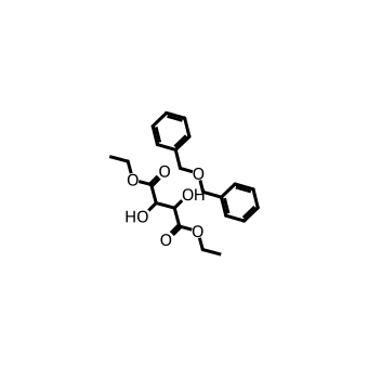 CCOC(=O)C(O)C(O)C(=O)OCC.c1ccc(COCc2ccccc2)cc1